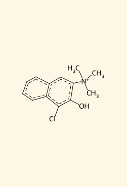 C[N+](C)(C)c1cc2ccccc2c(Cl)c1O